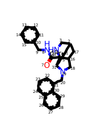 CCCC1C2CNC3(C(=O)NCc4ccccc4)C(C2)CN(Cc2cccc4ccccc24)C13